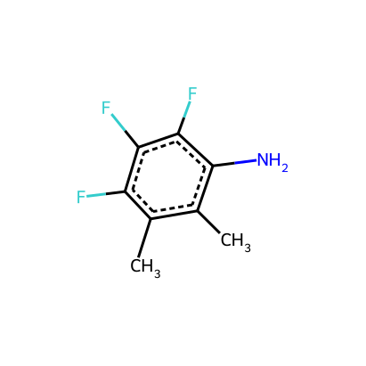 Cc1c(C)c(F)c(F)c(F)c1N